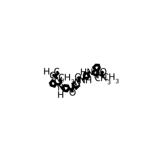 CCC(=O)N1c2ccccc2[C@H](Nc2ccc(NC(=O)N3CCN(C(=O)c4ccc(N[C@@H]5C[C@H](C)N(C(=O)CC)c6ccccc65)cc4)CC3)cc2)C[C@@H]1C